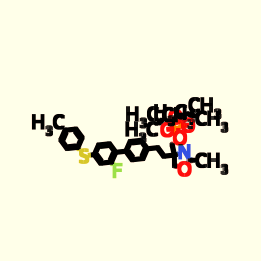 CC1=NC(CCc2ccc(-c3ccc(Sc4ccc(C)cc4)cc3F)cc2)(COP(=O)(OC(C)(C)C)OC(C)(C)C)CO1